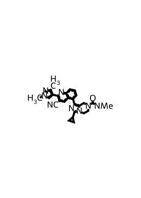 CNC(=O)N1CCn2c(C3CC3)nc(-c3cccc4nc(-c5cn(C)nc5C)c(C#N)cc34)c2C1